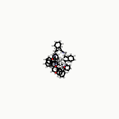 c1ccc([Si](O[Si]2(O[Si](c3ccccc3)(c3ccccc3)c3ccccc3)n3c4c5ccccc5c3/N=C3N=C(/N=c5/c6ccccc6/c(n52)=N/C2=NC(=N\4)/c4ccccc42)c2ccccc2\3)(c2ccccc2)c2ccccc2)cc1